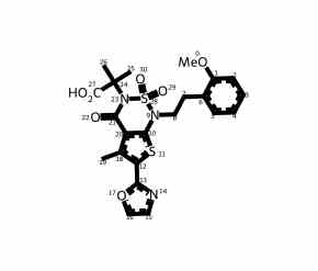 COc1ccccc1CCN1c2sc(-c3ncco3)c(C)c2C(=O)N(C(C)(C)C(=O)O)S1(=O)=O